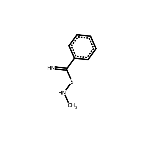 CNSC(=N)c1ccccc1